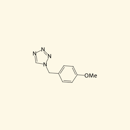 COc1ccc(Cn2cnnn2)cc1